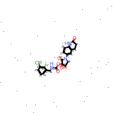 O=C1CCc2cc(N3CC[C@](O)(OC(=O)NCc4cccc(Cl)c4F)C3=O)ccc2N1